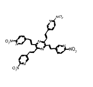 O=[N+]([O-])c1ccc(C=Cc2nc(C=Cc3ccc([N+](=O)[O-])nc3)c(C=Cc3ccc([N+](=O)[O-])nc3)nc2C=Cc2ccc([N+](=O)[O-])nc2)cn1